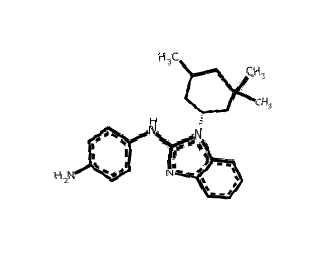 CC1C[C@@H](n2c(Nc3ccc(N)cc3)nc3ccccc32)CC(C)(C)C1